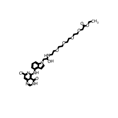 CCOC(=O)COCCOCCOCCOCCNC(O)Cn1ccc2c(Nc3nc(Cl)cc4nc[nH]c(=O)c34)cccc21